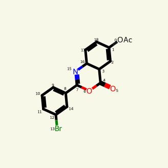 CC(=O)OC1=CC2C(=O)OC(c3cccc(Br)c3)=NC2C=C1